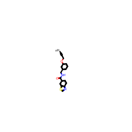 CCCC#CCOc1cccc(CNC(=O)c2ccc3ncsc3c2)c1